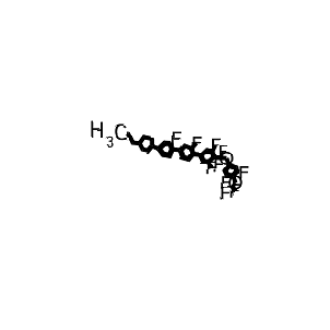 CCCC1CCC(c2ccc(-c3ccc(-c4cc(F)c(C(F)(F)Oc5ccc(OC(F)(F)F)c(F)c5)c(F)c4)c(F)c3)c(F)c2)CC1